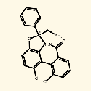 NC[C@@]1(c2ccccc2)Cc2c(ccc(Cl)c2-c2c(Cl)cccc2C(N)=O)O1